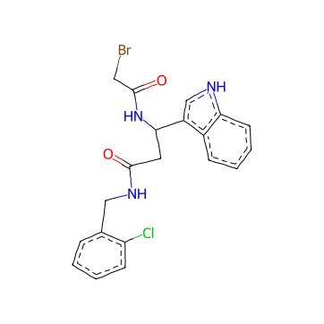 O=C(CC(NC(=O)CBr)c1c[nH]c2ccccc12)NCc1ccccc1Cl